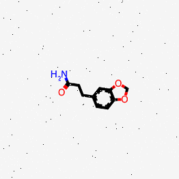 NC(=O)CCc1ccc2c(c1)OCO2